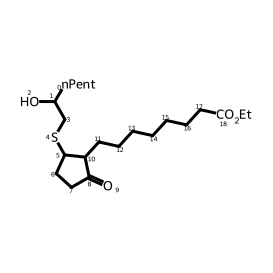 CCCCCC(O)CSC1CCC(=O)C1CCCCCCCC(=O)OCC